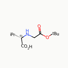 CC(C)[C@H](NCC(=O)OC(C)(C)C)C(=O)O